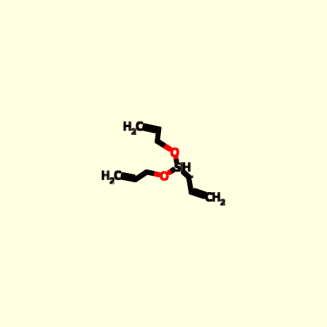 C=C[CH][SiH](OCC=C)OCC=C